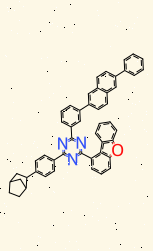 c1ccc(-c2ccc3cc(-c4cccc(-c5nc(-c6ccc(C7CC8CCC7C8)cc6)nc(-c6cccc7oc8ccccc8c67)n5)c4)ccc3c2)cc1